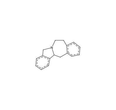 c1ccc2c(c1)CCN1Cc3ccccc3C1C2